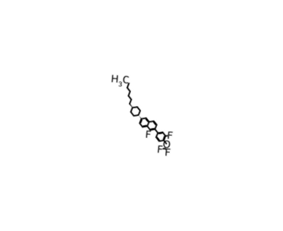 CCCCCCC[C@H]1CC[C@H](c2ccc3c(F)c(-c4ccc(OC(F)F)c(F)c4)ccc3c2)CC1